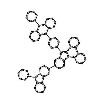 c1ccc(-c2c3ccccc3c(-c3ccc(-n4c5cc(-c6ccc7c(c6)c6ccccc6n7-c6ccccc6)ccc5c5c6ccccc6c6ccccc6c54)cc3)c3ccccc23)cc1